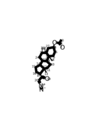 CC(=O)O[C@H]1CC[C@]2(C)C3CC[C@@]4(C)C(CC[C@@H]4C(=O)C=[N+]=[N-])C3CC[C@H]2C1